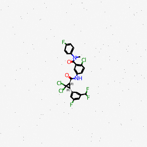 CN(C(=O)c1cc(NC(=O)[C@H]2[C@H](c3cc(F)cc(C(F)F)c3)C2(Cl)Cl)ccc1Cl)c1ccc(F)cc1